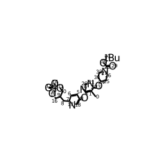 Cc1c(Oc2ccc(CC3COS(=O)(=O)OC3)nc2)ncnc1OC1CCN(C(=O)OC(C)(C)C)CC1